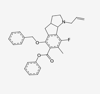 C=CCN1CCC2Cc3c(OCc4ccccc4)c(C(=O)Oc4ccccc4)c(C)c(F)c3C21